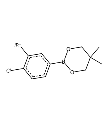 CC(C)c1cc(B2OCC(C)(C)CO2)ccc1Cl